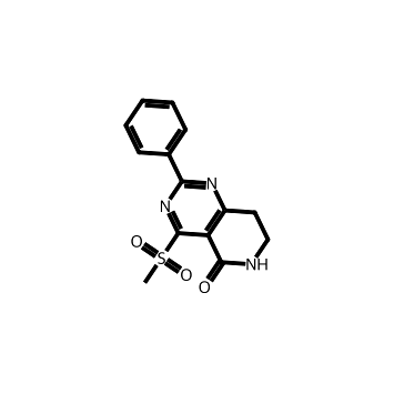 CS(=O)(=O)c1nc(-c2ccccc2)nc2c1C(=O)NCC2